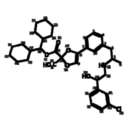 CC(Cc1cccc(C2=COC(C(=O)O)(C(=O)OC(C3CCCCC3)C3CCCCC3)O2)c1)NCC(O)c1cccc(Cl)c1